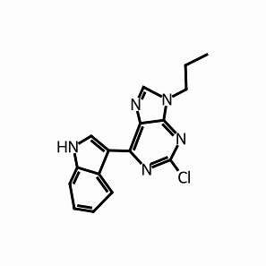 CCCn1cnc2c(-c3c[nH]c4ccccc34)nc(Cl)nc21